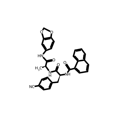 C[C@H](NC(=O)[C@H](Cc1ccc(C#N)cc1)NC(=O)c1cccc2ccccc12)C(=O)Nc1ccc2c(c1)OCO2